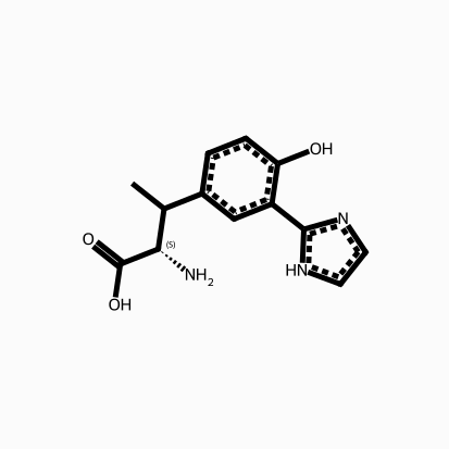 CC(c1ccc(O)c(-c2ncc[nH]2)c1)[C@H](N)C(=O)O